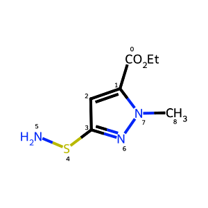 CCOC(=O)c1cc(SN)nn1C